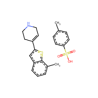 Cc1ccc(S(=O)(=O)O)cc1.Cc1cccc2cc(C3=CCNCC3)sc12